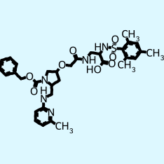 Cc1cc(C)c(S(=O)(=O)NC(CNC(=O)COC2CC(CNc3cccc(C)n3)N(C(=O)OCc3ccccc3)C2)C(=O)O)c(C)c1